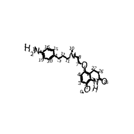 COc1ccc(OCCN(C)CCCc2ccc(N)cc2)c2c1NC(=O)CC2